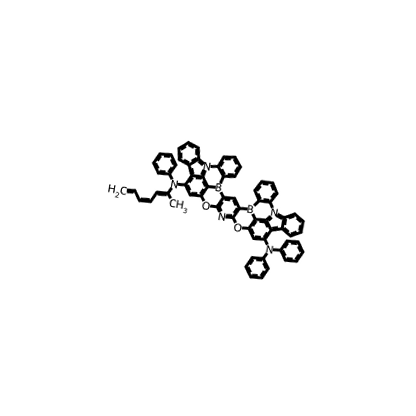 C=C/C=C\C=C(/C)N(c1ccccc1)c1cc2c3c4c1c1ccccc1n4-c1ccccc1B3c1cc3c(nc1O2)Oc1cc(N(c2ccccc2)c2ccccc2)c2c4ccccc4n4c2c1B3c1ccccc1-4